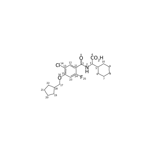 O=C(NC(C(=O)O)C1CCCCC1)c1cc(Cl)c(OCC2CCCC2)cc1F